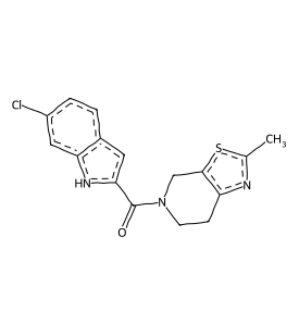 Cc1nc2c(s1)CN(C(=O)c1cc3ccc(Cl)cc3[nH]1)CC2